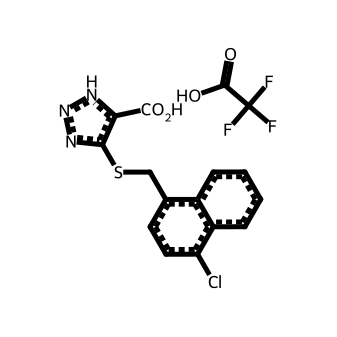 O=C(O)C(F)(F)F.O=C(O)c1[nH]nnc1SCc1ccc(Cl)c2ccccc12